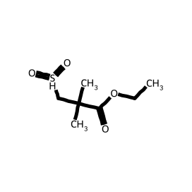 CCOC(=O)C(C)(C)C[SH](=O)=O